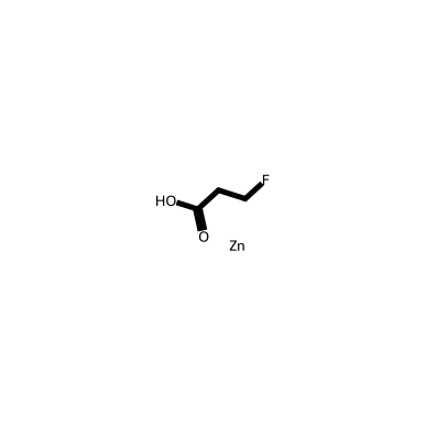 O=C(O)CCF.[Zn]